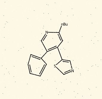 CCCCc1cc(-c2cncs2)c(-c2ccccc2)[c]n1